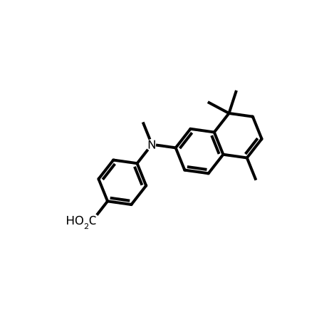 CC1=CCC(C)(C)c2cc(N(C)c3ccc(C(=O)O)cc3)ccc21